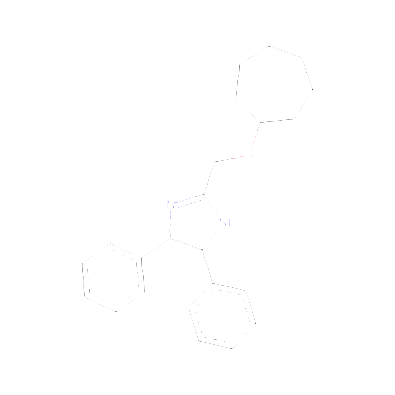 c1ccc(C2N=C(COC3CCCCCC3)NC2c2ccccc2)cc1